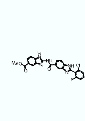 COC(=O)c1ccc2[nH]c(NC(=O)c3ccc4[nH]c(-c5c(F)cccc5Cl)nc4c3)nc2c1